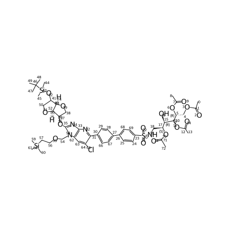 CC(=O)OC[C@@H](OC(C)=O)[C@@H](OC(C)=O)[C@H](O)[C@H](CNS(=O)(=O)c1ccc(-c2ccc(-c3nc4nc(O[C@@H]5CO[C@@H]6C(O[Si](C)(C)C(C)(C)C)CO[C@@H]65)n(COCC[Si](C)(C)C)c4cc3Cl)cc2)cc1)OC(C)=O